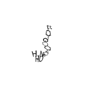 CCc1ccc(COC2CCc3cc([C@H]4CC[C@](N)(CO)C4)ccc3C2)cc1